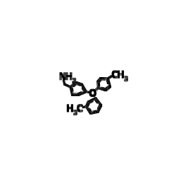 Cc1ccc(Oc2ccc(CN)cc2)cc1.Cc1ccccc1